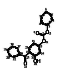 O=C(Oc1ccccc1)Oc1ccc(C(=O)c2ccccc2)c(O)c1